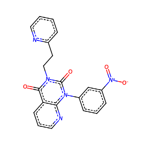 O=c1c2cccnc2n(-c2cccc([N+](=O)[O-])c2)c(=O)n1CCc1ccccn1